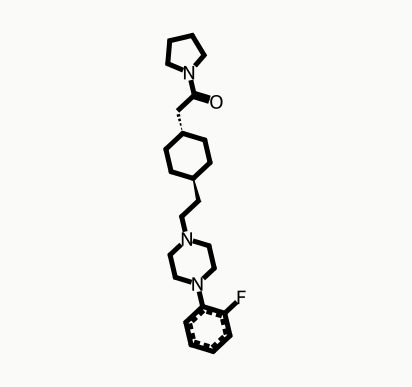 O=C(C[C@H]1CC[C@H](CCN2CCN(c3ccccc3F)CC2)CC1)N1CCCC1